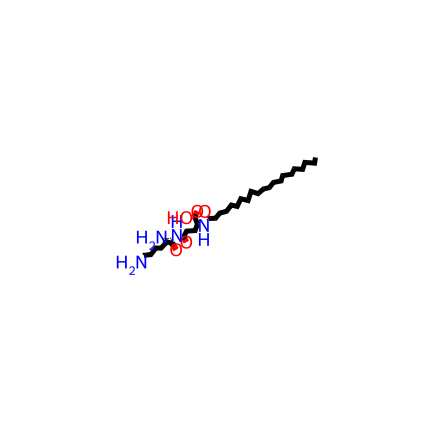 CCCCCCCCCCCCCCCCCCCCC(=O)NC(CCC(=O)NC(=O)[C@@H](N)CCCCN)C(=O)O